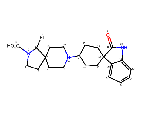 CCC1N(C(=O)O)CCC12CCN(C1CCC3(CC1)C(=O)Nc1ccccc13)CC2